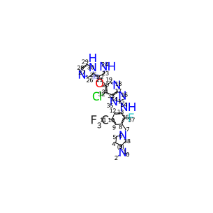 CN(C)[C@H]1CCN(Cc2cc(C(F)(F)F)cc(Nc3nc4ncc(O/C(C=N)=C5\C=NC=CN5)c(Cl)c4n3C)c2F)C1